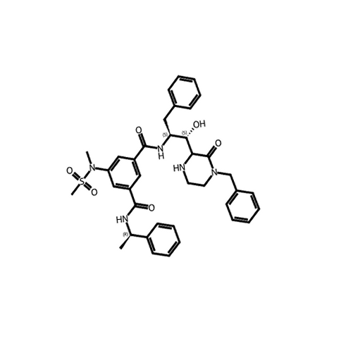 C[C@@H](NC(=O)c1cc(C(=O)N[C@@H](Cc2ccccc2)[C@H](O)C2NCCN(Cc3ccccc3)C2=O)cc(N(C)S(C)(=O)=O)c1)c1ccccc1